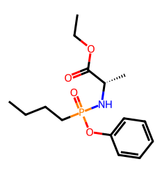 CCCCP(=O)(N[C@@H](C)C(=O)OCC)Oc1ccccc1